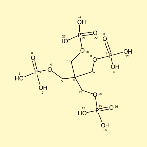 O=P(O)(O)OCC(COP(=O)(O)O)(COP(=O)(O)O)COP(=O)(O)O